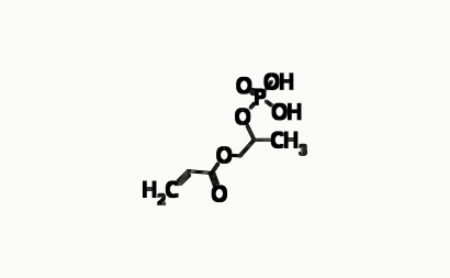 C=CC(=O)OCC(C)OP(=O)(O)O